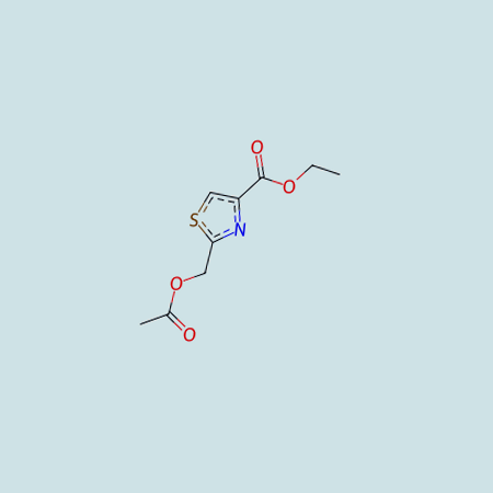 CCOC(=O)c1csc(COC(C)=O)n1